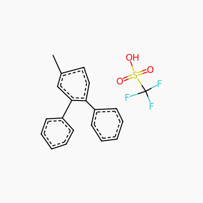 Cc1ccc(-c2ccccc2)c(-c2ccccc2)c1.O=S(=O)(O)C(F)(F)F